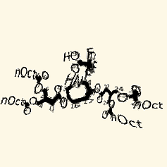 CCCCCCCCC(=O)OCC(COC(=O)CCCCCCCC)CC(=O)O[C@@H]1C=C[C@H](OC(=O)CC(COC(=O)CCCCCCCC)COC(=O)CCCCCCCC)CNC1.O=C(O)C(F)(F)F